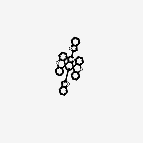 c1ccc2c(c1)Oc1ccccc1C21c2cc(-c3cc4ccccc4o3)sc2C2(c3ccccc3Oc3ccccc32)c2cc(-c3cc4ccccc4o3)sc21